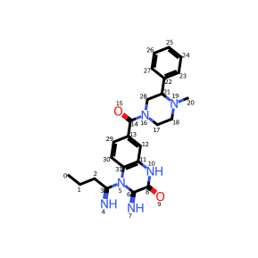 CCCC(=N)n1c(=N)c(=O)[nH]c2cc(C(=O)N3CCN(C)C(c4ccccc4)C3)ccc21